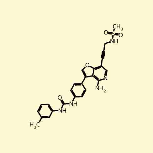 Cc1cccc(NC(=O)Nc2ccc(-c3coc4c(C#CCNS(C)(=O)=O)cnc(N)c34)cc2)c1